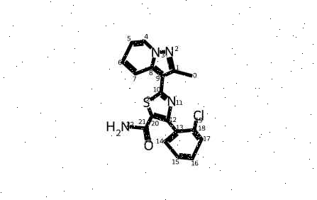 Cc1nn2ccccc2c1-c1nc(-c2ccccc2Cl)c(C(N)=O)s1